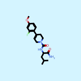 COc1ccc(C2=CCN(C(=O)NC(CC(C)C)C(N)=O)CC2)c(F)c1